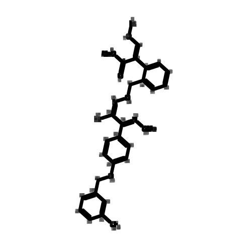 CCOC=C(C(=O)OC)c1ccccc1CON=C(CC)C(=NOC)c1ccc(OCc2cccc(C(F)(F)F)c2)cc1